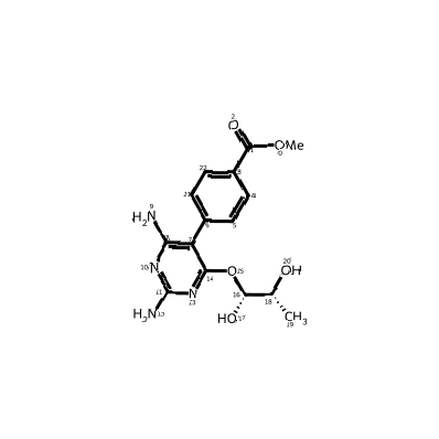 COC(=O)c1ccc(-c2c(N)nc(N)nc2O[C@@H](O)[C@@H](C)O)cc1